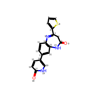 O=C1CC(c2cccs2)=Nc2ccc(-c3ccc(=O)[nH]c3)cc2N1